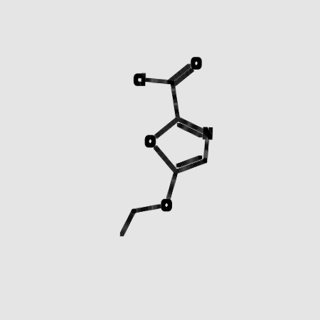 CCOc1cnc(C(=O)Cl)o1